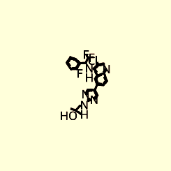 CC(C)(O)CNc1ncc(-c2ccc3ncc(Cl)c(N[C@@H](c4ccccc4F)C(F)F)c3c2)cn1